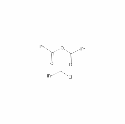 CC(C)C(=O)OC(=O)C(C)C.CC(C)CCl